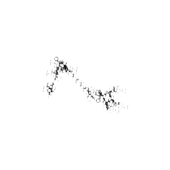 CC(C)(C)OC(=O)CN1CCN(CC(=O)OC(C)(C)C)CCN(CC(=O)OC(C)(C)C)C(Cc2ccc(CCC(=O)NCCOCCOCCOCCOCCOCCNC(=O)CNC(=O)[C@H](Cc3ccccc3)NC(=O)CNC(=O)CNC(=O)CCCCC(=O)Oc3c(F)c(F)cc(F)c3F)cc2)CN(CC(=O)OC(C)(C)C)CC1